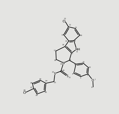 COc1ccc(C2c3[nH]c4ccc(Cl)cc4c3CCN2C(=S)SCc2ccc(Cl)cc2)cc1